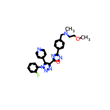 COCCN(C)Cc1ccc(-c2noc(-c3nnn(-c4ccccc4F)c3-c3ccncc3)n2)cc1